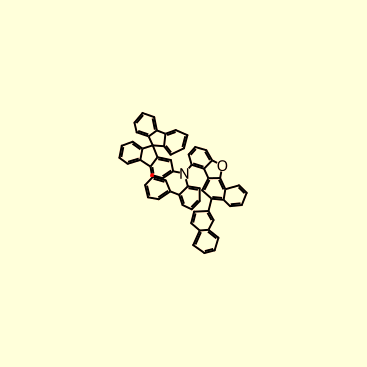 c1ccc(-c2ccccc2N(c2ccc3c(c2)C2(c4ccccc4-c4ccccc42)c2ccccc2-3)c2cccc3oc4c5ccccc5c(-c5ccc6ccccc6c5)cc4c23)cc1